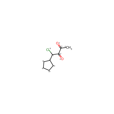 CC(=O)C(=O)C(Cl)C1CCCC1